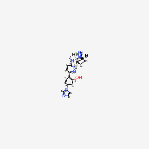 CN(c1ccc(-c2ccc(-n3ccnc3)cc2O)nn1)[C@@H]1[C@H]2CC[C@H](NC2)[C@H]1F